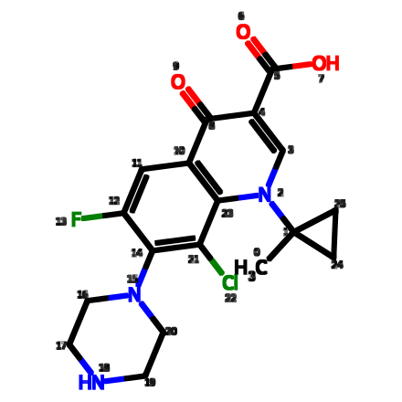 CC1(n2cc(C(=O)O)c(=O)c3cc(F)c(N4CCNCC4)c(Cl)c32)CC1